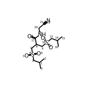 CC(C)CS(=O)(=O)CC(CS(=O)(=O)CC(C)C)C(=O)NCC#N